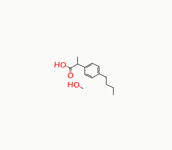 CCCCc1ccc(C(C)C(=O)O)cc1.CO